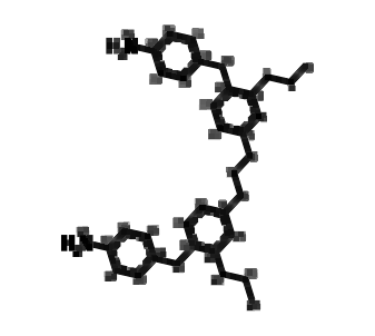 CCCc1cc(CCCc2ccc(Cc3ccc(N)cc3)c(CCC)c2)ccc1Cc1ccc(N)cc1